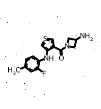 Cc1ccc(Nc2cscc2C(=O)N2CC(N)C2)c(F)c1